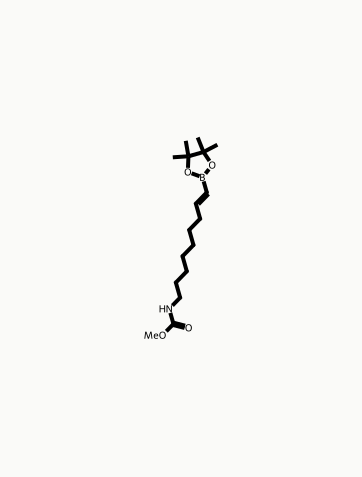 COC(=O)NCCCCCCCC=CB1OC(C)(C)C(C)(C)O1